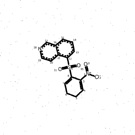 O=[N+]([O-])C1=CCCC=C1S(=O)(=O)c1cccc2cnccc12